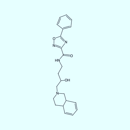 O=C(NCCC(O)CN1CCC2C=CC=CC2C1)c1noc(-c2ccccc2)n1